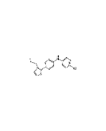 CCCn1ccnc1-c1ccc(Nc2ccc(Cl)cc2)nc1